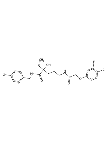 C=CC(O)(CCCNC(=O)COc1ccc(Cl)c(F)c1)C(=O)NCc1ccc(Cl)cn1